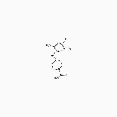 CC(C)COC(=O)N1CCC(Nc2cc(Cl)c(F)cc2N)CC1